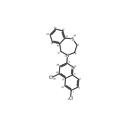 Clc1ccc2nc(N3CCSc4ccccc4C3)cc(Cl)c2c1